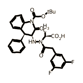 C[C@@H](C(=O)O)N(N[C@H]1C(=O)N(C(=O)OC(C)(C)C)c2ccccc2[C@@H]1c1ccccc1)C(=O)Cc1cc(F)cc(F)c1